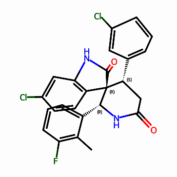 Cc1c(F)cccc1[C@H]1NC(=O)C[C@@H](c2cccc(Cl)c2)[C@]12C(=O)Nc1cc(Cl)ccc12